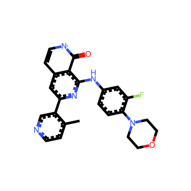 Cc1ccncc1-c1cc2c(c(Nc3ccc(N4CCOCC4)c(F)c3)n1)C(=O)[N]C=C2